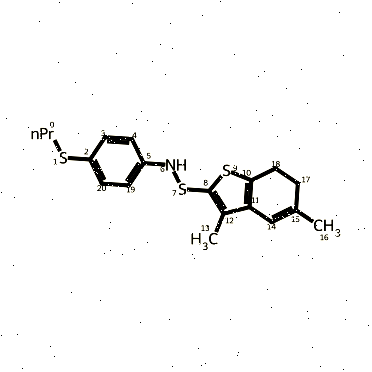 CCCSc1ccc(NSc2sc3c(c2C)C=C(C)CC3)cc1